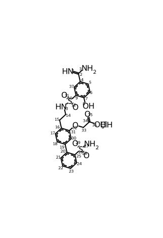 Cl.N=C(N)c1ccc(O)c(S(=O)(=O)NCCc2ccc(-c3ccccc3S(N)(=O)=O)cc2OCC(=O)O)c1